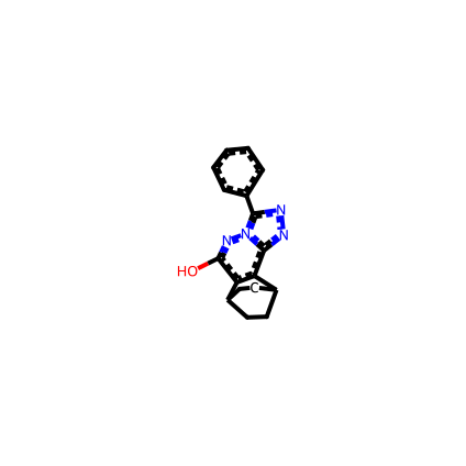 Oc1nn2c(-c3ccccc3)nnc2c2c1C1CCC2CC1